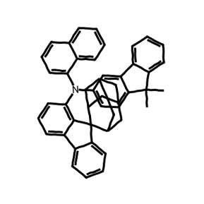 CC1(C)c2ccccc2-c2cc(N(c3cccc4c3C3(c5ccccc5-4)C4CC5CC(C4)CC3C5)c3cccc4ccccc34)ccc21